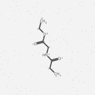 C[CH]C(=O)NCC(=O)OCC